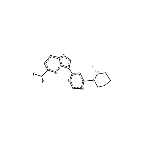 C[C@@H]1CCCCN1c1cc(-c2cnc3ccc(C(F)F)nn23)ncn1